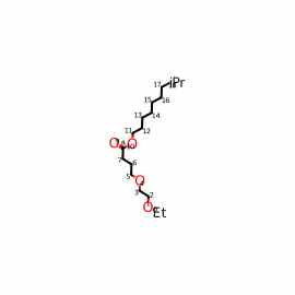 CCOCCOCCCC(=O)OCCCCCCCC(C)C